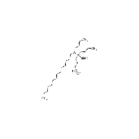 CCCCCCCCCCCCCCC(CCCC)[C]([SbH3+])(CCCC)CCCC.[Cl-]